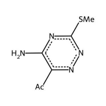 CSc1nnc(C(C)=O)c(N)n1